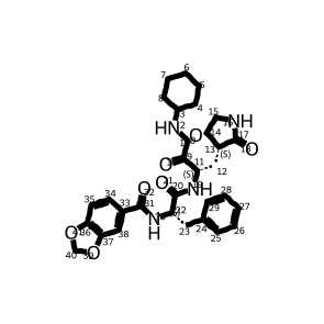 O=C(NC1CCCCC1)C(=O)[C@H](C[C@@H]1CCNC1=O)NC(=O)[C@H](Cc1ccccc1)NC(=O)c1ccc2c(c1)OCO2